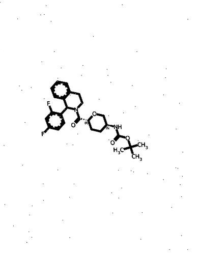 CC(C)(C)OC(=O)N[C@H]1CC[C@H](C(=O)N2CCc3ccccc3C2c2ccc(F)cc2F)OC1